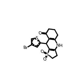 O=C1CCCC2=C1C(c1cc(Br)cs1)C1=C(CCS1(=O)=O)N2